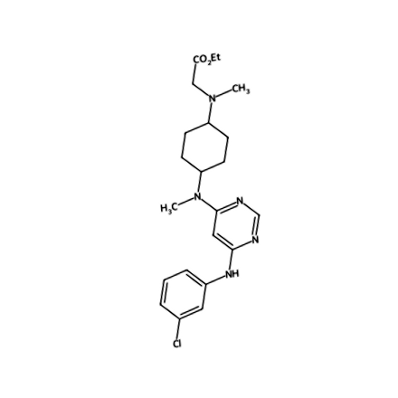 CCOC(=O)CN(C)C1CCC(N(C)c2cc(Nc3cccc(Cl)c3)ncn2)CC1